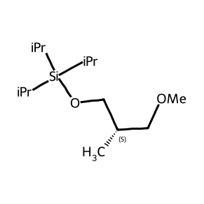 COC[C@H](C)CO[Si](C(C)C)(C(C)C)C(C)C